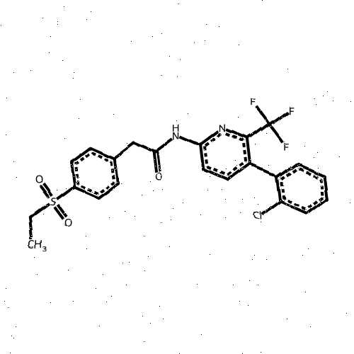 CCS(=O)(=O)c1ccc(CC(=O)Nc2ccc(-c3ccccc3Cl)c(C(F)(F)F)n2)cc1